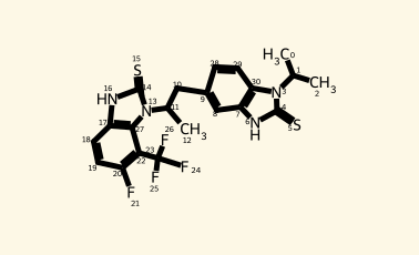 CC(C)n1c(=S)[nH]c2cc(CC(C)n3c(=S)[nH]c4ccc(F)c(C(F)(F)F)c43)ccc21